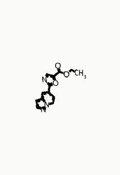 CCOC(=O)c1cnc(-c2ccn3nccc3c2)o1